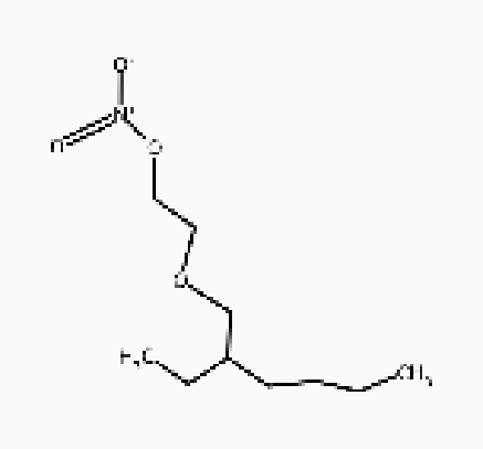 CCCCC(CC)COCCO[N+](=O)[O-]